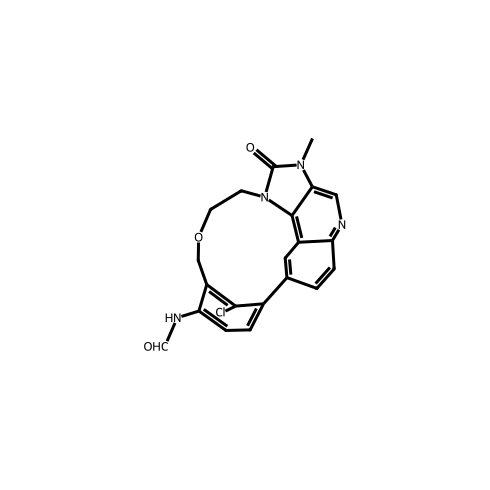 Cn1c(=O)n2c3c4cc(ccc4ncc31)-c1ccc(NC=O)c(c1Cl)COCC2